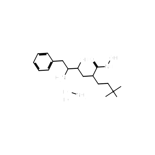 CC(C)(F)CCC(CC(O)C(N)Cc1ccccc1)C(=O)NO.Cl.NO